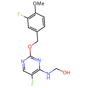 COc1ccc(COc2ncc(F)c(NCO)n2)cc1F